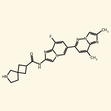 Cc1cn2nc(-c3cc(F)c4nc(NC(=O)C5CC6(CCNC6)C5)cn4c3)cc(C)c2n1